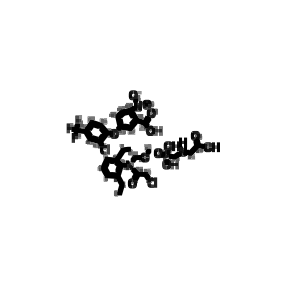 CCc1cccc(CC)c1N(COC)C(=O)CCl.O=C(O)CNCP(=O)(O)O.O=C(O)c1cc(Oc2ccc(C(F)(F)F)cc2Cl)ccc1[N+](=O)[O-]